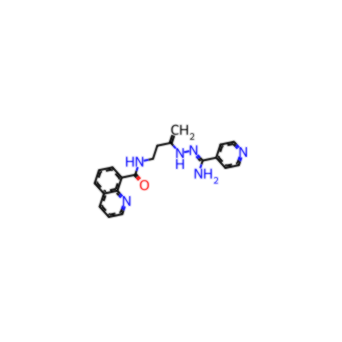 C=C(CCNC(=O)c1cccc2cccnc12)N/N=C(\N)c1ccncc1